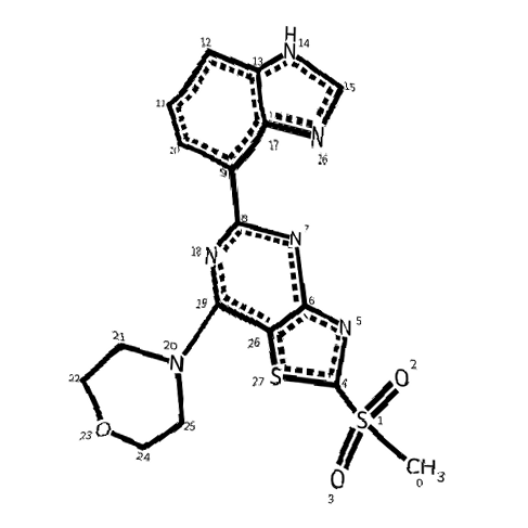 CS(=O)(=O)c1nc2nc(-c3cccc4[nH]cnc34)nc(N3CCOCC3)c2s1